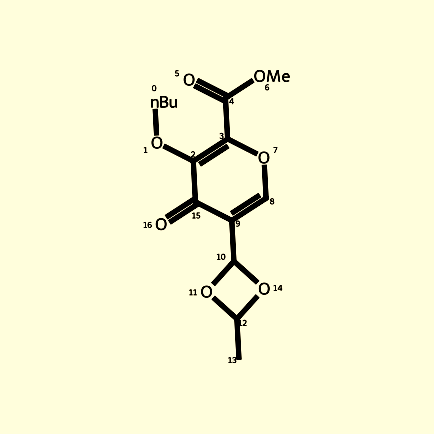 CCCCOc1c(C(=O)OC)occ(C2OC(C)O2)c1=O